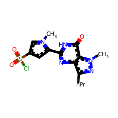 CCCc1nn(C)c2c(=O)[nH]c(-c3cc(S(=O)(=O)Cl)cn3C)nc12